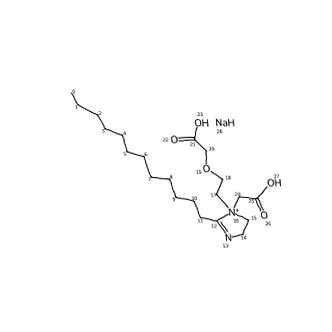 CCCCCCCCCCCCC1=NCC[N+]1(CCOCC(=O)O)CC(=O)O.[NaH]